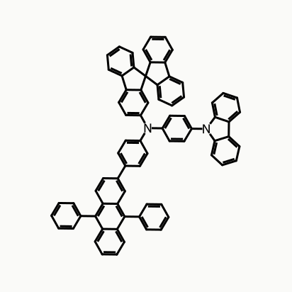 c1ccc(-c2c3ccccc3c(-c3ccccc3)c3cc(-c4ccc(N(c5ccc(-n6c7ccccc7c7ccccc76)cc5)c5ccc6c(c5)C5(c7ccccc7-c7ccccc75)c5ccccc5-6)cc4)ccc23)cc1